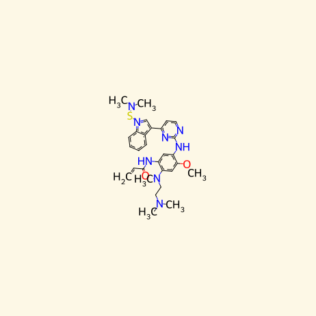 C=CC(=O)Nc1cc(Nc2nccc(-c3cn(SN(C)C)c4ccccc34)n2)c(OC)cc1N(C)CCN(C)C